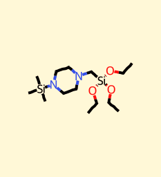 CCO[Si](CN1CCN([Si](C)(C)C)CC1)(OCC)OCC